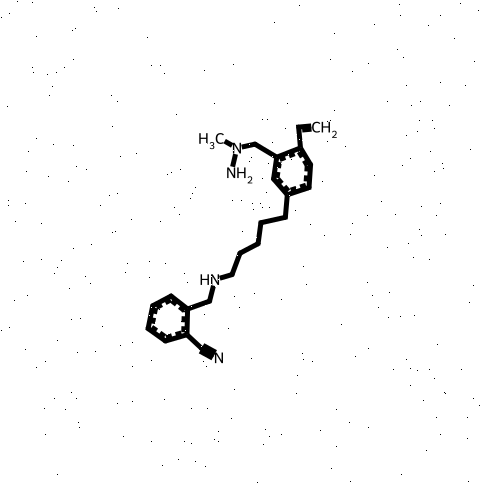 C=Cc1ccc(CCCCCNCc2ccccc2C#N)cc1CN(C)N